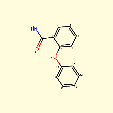 [NH]C(=O)c1ccccc1Oc1ccccc1